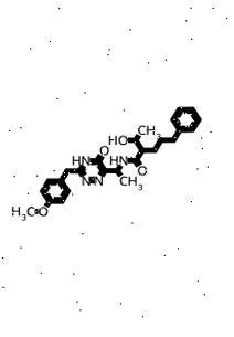 COc1ccc(Cc2nnc(C(C)NC(=O)C(CCCc3ccccc3)C(C)O)c(=O)[nH]2)cc1